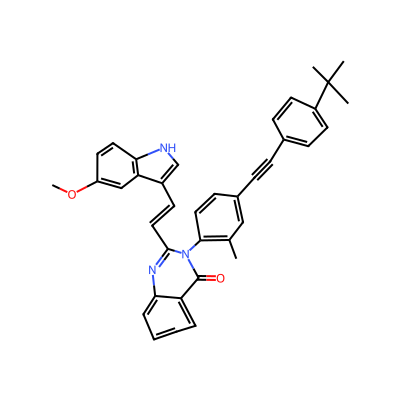 COc1ccc2[nH]cc(/C=C/c3nc4ccccc4c(=O)n3-c3ccc(C#Cc4ccc(C(C)(C)C)cc4)cc3C)c2c1